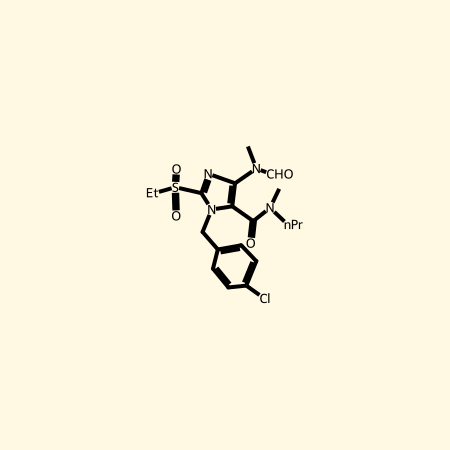 CCCN(C)C(=O)c1c(N(C)C=O)nc(S(=O)(=O)CC)n1Cc1ccc(Cl)cc1